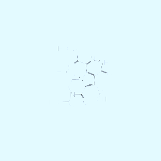 COC(=O)c1n[nH]c(=O)c2c(OC)c3n(c12)[C@@H](C)CN(C(C)C)C3=O